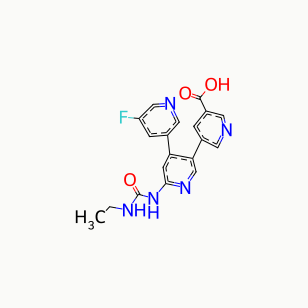 CCNC(=O)Nc1cc(-c2cncc(F)c2)c(-c2cncc(C(=O)O)c2)cn1